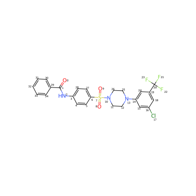 O=C(Nc1ccc(S(=O)(=O)N2CCN(c3cc(Cl)cc(C(F)(F)F)c3)CC2)cc1)c1ccccc1